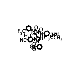 CC[N+](C)(C)C[C@H]1CC[C@H](NC(=O)n2c(-c3ccnn3-c3ccc(C#N)cc3)c(C)n(-c3cccc(C(F)(F)F)c3)c2=O)CC1.O=S(=O)([O-])c1ccccc1